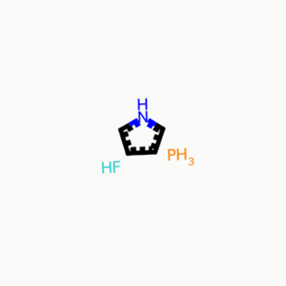 F.P.c1cc[nH]c1